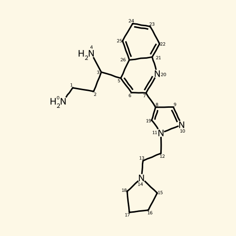 NCCC(N)c1cc(-c2cnn(CCN3CCCC3)c2)nc2ccccc12